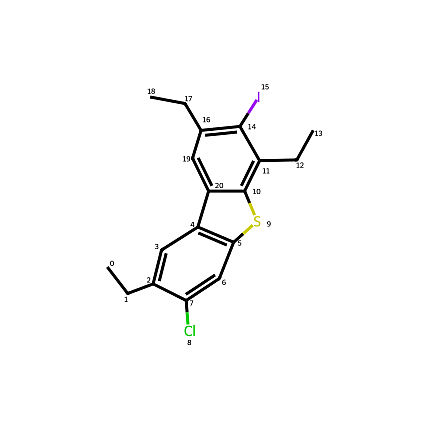 CCc1cc2c(cc1Cl)sc1c(CC)c(I)c(CC)cc12